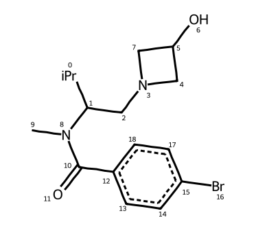 CC(C)C(CN1CC(O)C1)N(C)C(=O)c1ccc(Br)cc1